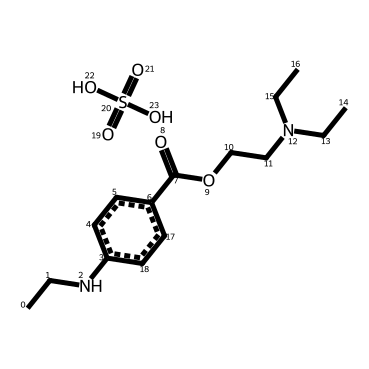 CCNc1ccc(C(=O)OCCN(CC)CC)cc1.O=S(=O)(O)O